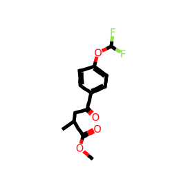 COC(=O)C(C)CC(=O)c1ccc(OC(F)F)cc1